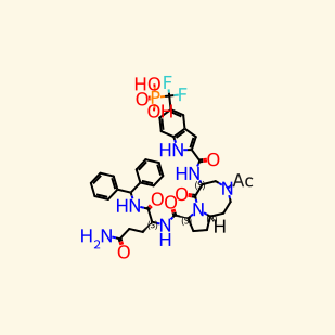 CC(=O)N1CC[C@H]2CC[C@@H](C(=O)N[C@@H](CCC(N)=O)C(=O)NC(c3ccccc3)c3ccccc3)N2C(=O)[C@@H](NC(=O)c2cc3cc(C(F)(F)P(=O)(O)O)ccc3[nH]2)C1